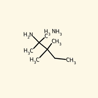 CCC(C)(C)C(C)(C)N.N